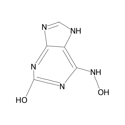 ONc1nc(O)nc2nc[nH]c12